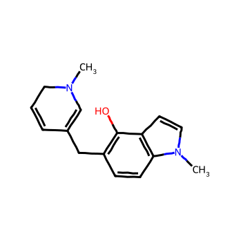 CN1C=C(Cc2ccc3c(ccn3C)c2O)C=CC1